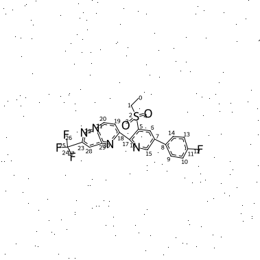 CCS(=O)(=O)c1cc(-c2ccc(F)cc2)cnc1-c1ccn2nc(C(F)(F)F)cc2n1